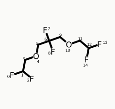 FC(F)COCC(F)(F)COCC(F)F